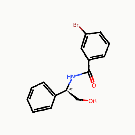 O=C(N[C@@H](CO)c1ccccc1)c1cccc(Br)c1